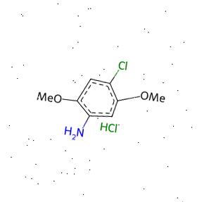 COc1cc(Cl)c(OC)cc1N.Cl